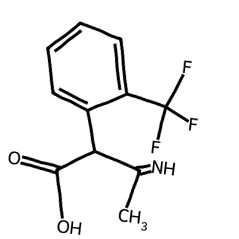 CC(=N)C(C(=O)O)c1ccccc1C(F)(F)F